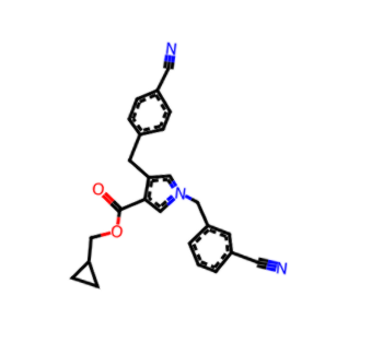 N#Cc1ccc(Cc2cn(Cc3cccc(C#N)c3)cc2C(=O)OCC2CC2)cc1